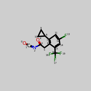 O=C=NC(=O)Cc1c(C2CC2)cc(F)cc1C(F)(F)F